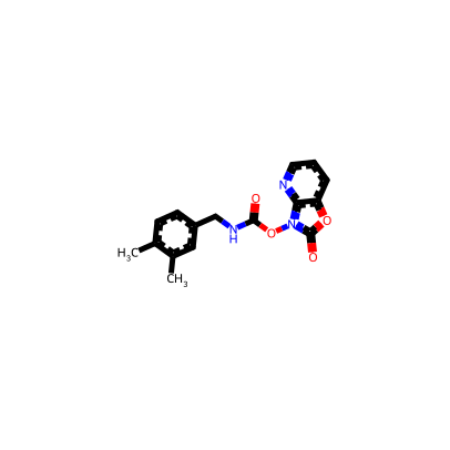 Cc1ccc(CNC(=O)On2c(=O)oc3cccnc32)cc1C